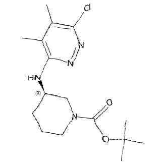 Cc1c(Cl)nnc(N[C@@H]2CCCN(C(=O)OC(C)(C)C)C2)c1C